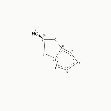 O[C@@H]1[CH]c2ccccc2C1